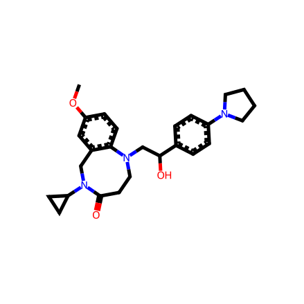 COc1ccc2c(c1)CN(C1CC1)C(=O)CCN2CC(O)c1ccc(N2CCCC2)cc1